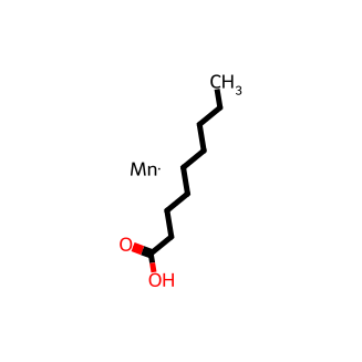 CCCCCCCCC(=O)O.[Mn]